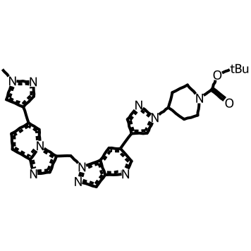 Cn1cc(-c2ccc3ncc(Cn4ncc5ncc(-c6cnn(C7CCN(C(=O)OC(C)(C)C)CC7)c6)cc54)n3c2)cn1